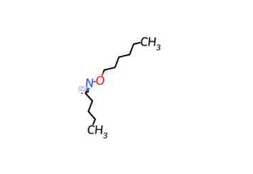 CCCC/[C]=N\OCCCCCC